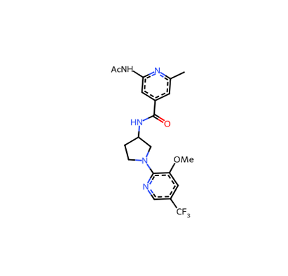 COc1cc(C(F)(F)F)cnc1N1CCC(NC(=O)c2cc(C)nc(NC(C)=O)c2)C1